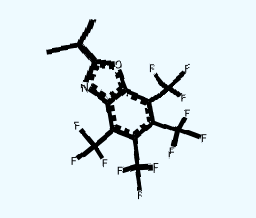 CC(C)c1nc2c(C(F)(F)F)c(C(F)(F)F)c(C(F)(F)F)c(C(F)(F)F)c2o1